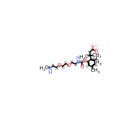 BC(=O)CC(C)(C)c1c(C)cc(C)cc1OC(=O)NCCOCCOCCNC